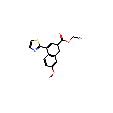 CCOC(=O)C1C=C(c2nccs2)c2ccc(OC)cc2C1